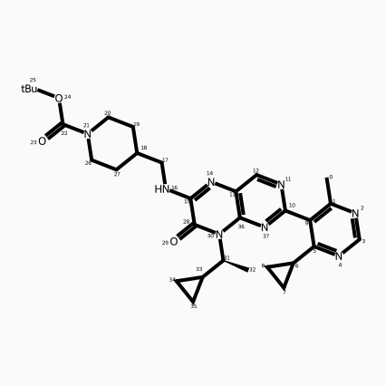 Cc1ncnc(C2CC2)c1-c1ncc2nc(NCC3CCN(C(=O)OC(C)(C)C)CC3)c(=O)n([C@@H](C)C3CC3)c2n1